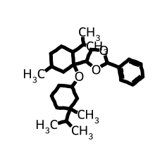 CC1CCC(C(C)C)C(OC2CCCC(C)(C(C)C)C2)(C2COC(c3ccccc3)O2)C1